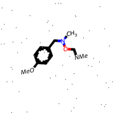 CNCON(C)Cc1ccc(OC)cc1